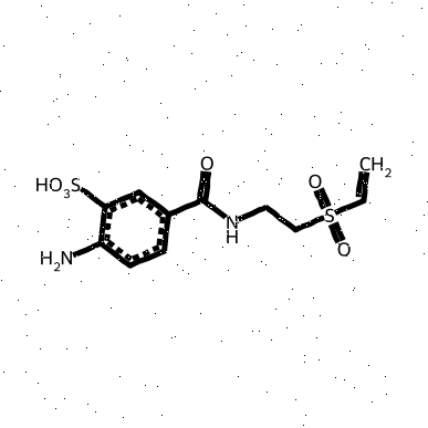 C=CS(=O)(=O)CCNC(=O)c1ccc(N)c(S(=O)(=O)O)c1